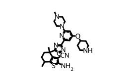 CC1CCC(C)(c2nc(-c3cc(OC4CCNCC4)cc(N4CCN(C)CC4)n3)no2)c2c1sc(N)c2C#N